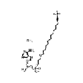 C[C@H](Cn1cnc2c(N)ncnc21)OCP(=O)(O)OCCCOCCCCCCCCCCCCCC#CC(F)(F)F.N